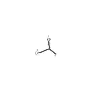 CC([O])Br